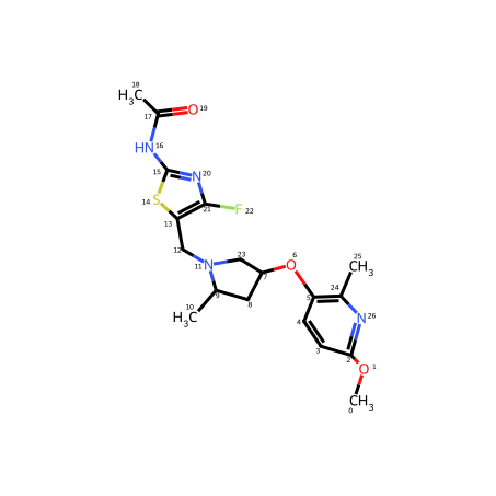 COc1ccc(OC2CC(C)N(Cc3sc(NC(C)=O)nc3F)C2)c(C)n1